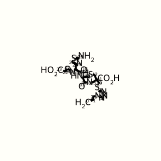 C=CCn1nnnc1SCC1(C(=O)O)CS[C@@H]2C(NC(=O)C(=NOCC(=O)O)c3csc(N)n3)C(=O)N2C1